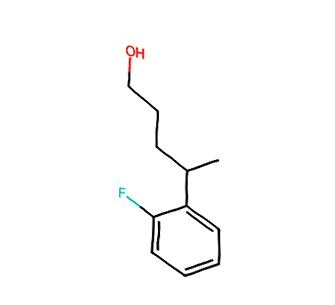 CC(CCCO)c1ccccc1F